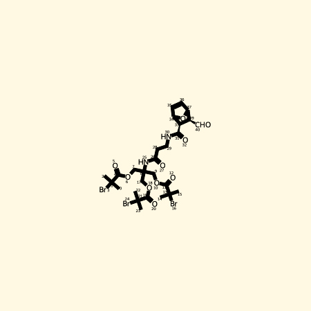 CC(C)(Br)C(=O)OCC(COC(=O)C(C)(C)Br)(COC(=O)C(C)(C)Br)NC(=O)CCNC(=O)[C@H]1C2C=CC(O2)[C@H]1C=O